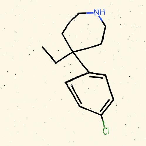 CCC1(c2ccc(Cl)cc2)CCNCC1